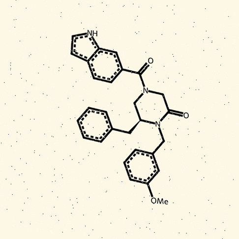 COc1cccc(CN2C(=O)CN(C(=O)c3ccc4cc[nH]c4c3)C[C@@H]2Cc2ccccc2)c1